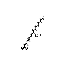 CCCCCCCCCCCCCC=CC=CC(=O)[O-].[Cs+]